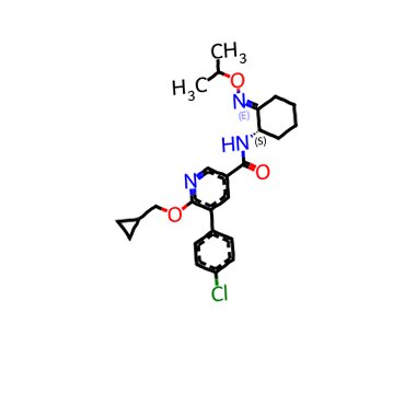 CC(C)O/N=C1\CCCC[C@@H]1NC(=O)c1cnc(OCC2CC2)c(-c2ccc(Cl)cc2)c1